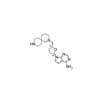 Nc1ncnc2c1ccn2[C@H]1CC[C@@H](CN2CCCC3(CCNCC3)C2)O1